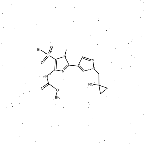 CCS(=O)(=O)c1c(NC(=O)OC(C)(C)C)nc(-c2cnn(CC3(C#N)CC3)c2)n1C